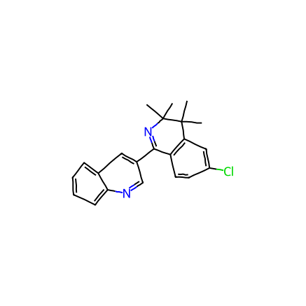 CC1(C)N=C(c2cnc3ccccc3c2)c2ccc(Cl)cc2C1(C)C